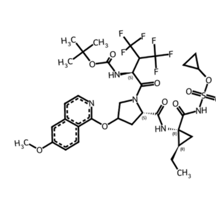 CC[C@@H]1C[C@]1(NC(=O)[C@@H]1CC(Oc2nccc3cc(OC)ccc23)CN1C(=O)[C@@H](NC(=O)OC(C)(C)C)C(C(F)(F)F)C(F)(F)F)C(=O)NS(=O)(=O)OC1CC1